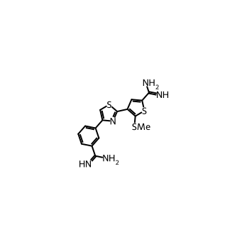 CSc1sc(C(=N)N)cc1-c1nc(-c2cccc(C(=N)N)c2)cs1